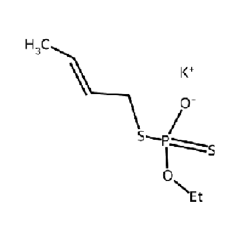 CC=CCSP([O-])(=S)OCC.[K+]